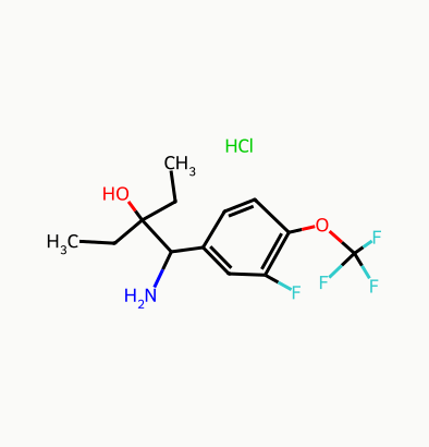 CCC(O)(CC)C(N)c1ccc(OC(F)(F)F)c(F)c1.Cl